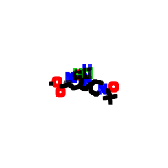 COC(=O)[C@@H](N)CC1CC2(CCN(C(=O)C(C)(C)C)CC2)NC1=O.Cl